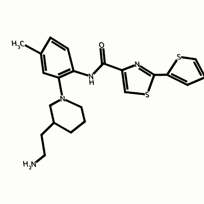 Cc1ccc(NC(=O)c2csc(-c3cccs3)n2)c(N2CCCC(CCN)C2)c1